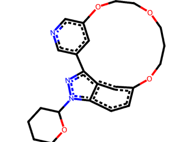 c1cc2c3cc1OCCCOCCOc1cncc(c1)-c3nn2C1CCCCO1